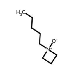 CCCCC[N+]1([O-])CCC1